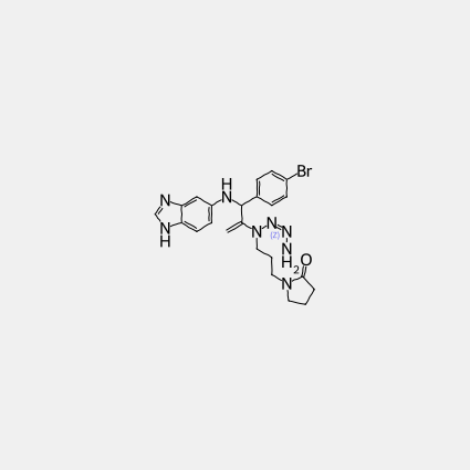 C=C(C(Nc1ccc2[nH]cnc2c1)c1ccc(Br)cc1)N(CCCN1CCCC1=O)/N=N\N